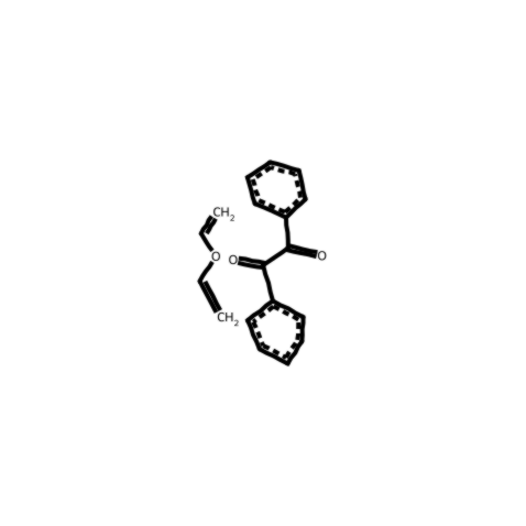 C=COC=C.O=C(C(=O)c1ccccc1)c1ccccc1